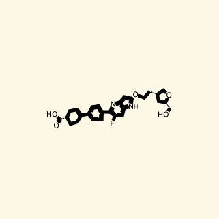 O=C(O)[C@@H]1CC=C(c2ccc(-c3nc4cc(OCC[C@@H]5CO[C@H](CO)C5)[nH]c4cc3F)cc2)CC1